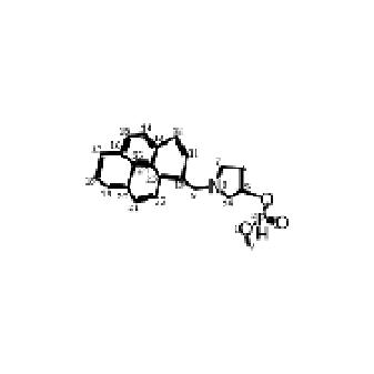 CO[PH](=O)OC1CCN(Cc2ccc3ccc4cccc5ccc2c3c45)C1